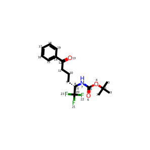 CC(C)(C)OC(=O)N[C@@H](CCCC(=O)c1ccccc1)C(F)(F)F